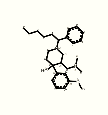 CCCCCC(c1ccccc1)N1CCC(O)(c2cccc(OC)c2)C(CN(C)C)C1